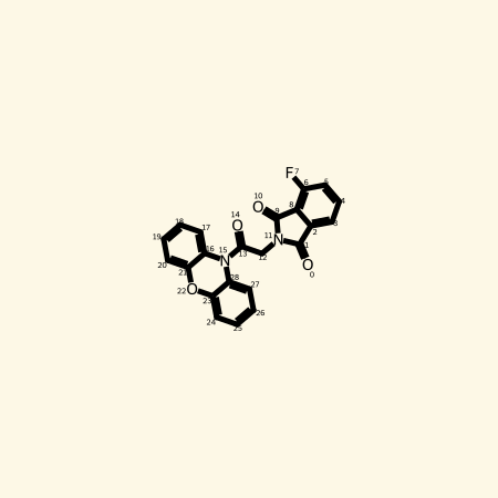 O=C1c2cccc(F)c2C(=O)N1CC(=O)N1c2ccccc2Oc2ccccc21